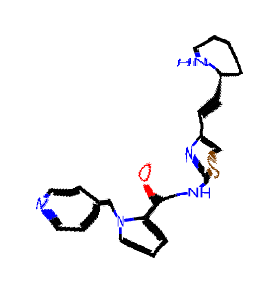 O=C(Nc1nc(/C=C/[C@@H]2CCCCN2)cs1)c1cccn1Cc1ccncc1